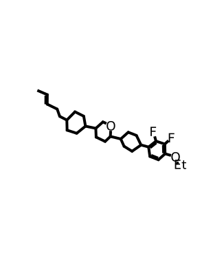 C/C=C/CCC1CCC(C2CCC(C3CCC(c4ccc(OCC)c(F)c4F)CC3)OC2)CC1